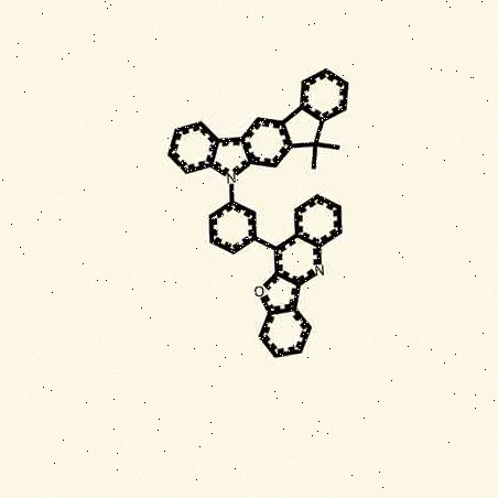 CC1(C)c2ccccc2-c2cc3c4ccccc4n(-c4cccc(-c5c6ccccc6nc6c5oc5ccccc56)c4)c3cc21